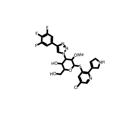 COC1C(Sc2cc(Cl)cnc2C2=CCNC2)OC(CO)C(O)C1n1cc(-c2cc(F)c(F)c(F)c2)nn1